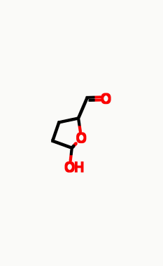 O=CC1CCC(O)O1